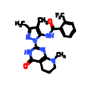 Cc1nn(-c2nc3c(c(=O)[nH]2)CCCN3C)c(NC(=O)c2ccccc2C(F)(F)F)c1C